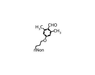 CCCCCCCCCCCCOc1cc(C)c(C=O)c(C)c1